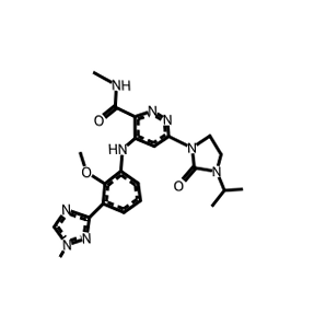 CNC(=O)c1nnc(N2CCN(C(C)C)C2=O)cc1Nc1cccc(-c2ncn(C)n2)c1OC